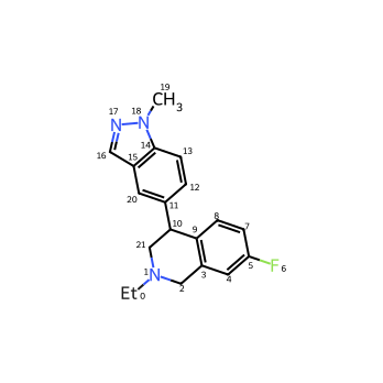 CCN1Cc2cc(F)ccc2C(c2ccc3c(cnn3C)c2)C1